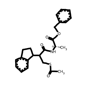 CC(=O)SCC(C(=O)N[C@@H](C)C(=O)OCc1ccccc1)C1CCc2ccccc21